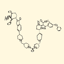 NC(=O)c1c(-c2ccc(Oc3ccccc3)cc2)nn2c1NCC[C@H]2C1CCN(CC2CCN(C(=O)N3CCC(CN4CCC(c5ccc6c(c5)CN(C5CCC(=O)NC5=O)C6=O)CC4)CC3)CC2)CC1